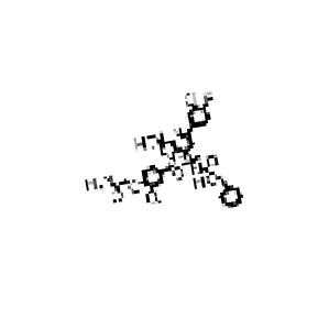 COc1cc(C(=O)NCC(C)(O)c2cc(C(C)(C)NC(=O)OCc3ccccc3)cc(-c3ccc(F)c(Cl)c3)n2)ccc1OCC(N)=O